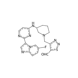 O=Cc1snnc1CN1CCCC(Nc2ccnc(-c3cnc4ccc(F)cn34)n2)C1